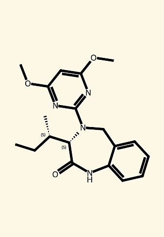 CC[C@H](C)[C@H]1C(=O)Nc2ccccc2CN1c1nc(OC)cc(OC)n1